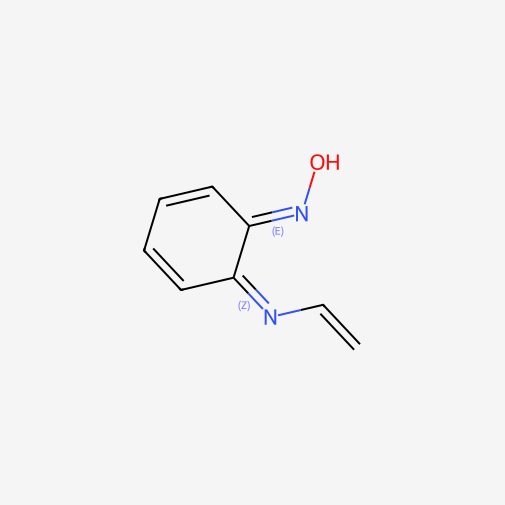 C=C/N=C1/C=CC=C/C1=N\O